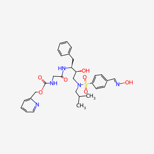 CC(C)CN(C[C@H](O)[C@H](Cc1ccccc1)NC(=O)CNC(=O)OCc1ccccn1)S(=O)(=O)c1ccc(C=NO)cc1